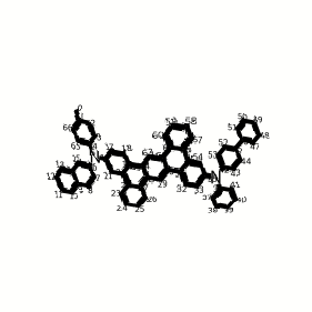 Cc1ccc(N(c2ccc3ccccc3c2)c2ccc3c(c2)c2ccccc2c2cc4c5ccc(N(c6ccccc6)c6ccc(-c7ccccc7)cc6)cc5c5ccccc5c4cc32)cc1